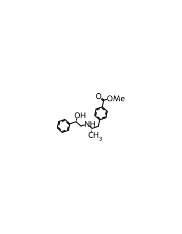 COC(=O)c1ccc(C[C@H](C)NC[C@H](O)c2ccccc2)cc1